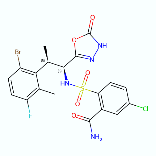 Cc1c(F)ccc(Br)c1[C@@H](C)[C@H](NS(=O)(=O)c1ccc(Cl)cc1C(N)=O)c1n[nH]c(=O)o1